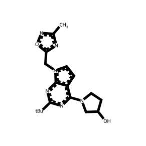 Cc1noc(Cn2ccc3c(N4CCC(O)C4)nc(C(C)(C)C)nc32)n1